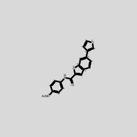 CC(=O)Nc1ccc(NC(=O)c2cc3ccc(-c4ccoc4)cc3o2)cc1